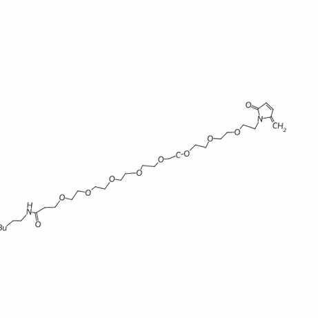 C=C1C=CC(=O)N1CCOCCOCCOCCOCCOCCOCCOCCOCCC(=O)NCCC(C)(C)C